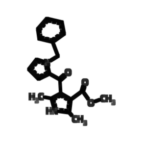 COC(=O)c1c(C)[nH]c(C)c1C(=O)c1cccn1Cc1ccccc1